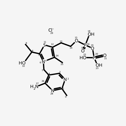 Cc1ncc(C[n+]2c(C(C)O)sc(CCOP(=O)(O)OP(=O)(O)O)c2C)c(N)n1.[Cl-]